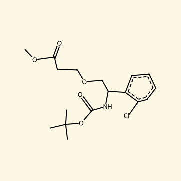 COC(=O)CCOCC(NC(=O)OC(C)(C)C)c1ccccc1Cl